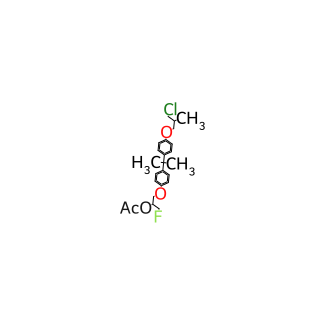 CC(=O)OC(CF)COc1ccc(C(C)(C)c2ccc(OCC(C)CCl)cc2)cc1